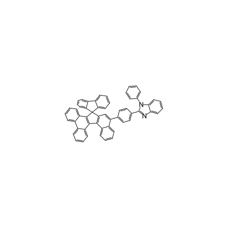 c1ccc(-n2c(-c3ccc(-c4cc5c(c6ccccc46)-c4c(c6ccccc6c6ccccc46)C54c5ccccc5-c5ccccc54)cc3)nc3ccccc32)cc1